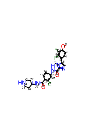 COc1ccc(-c2cnc(C(=O)Nc3ccc(C(=O)NCC4CCNCC4)c(Cl)c3)n2C)c(F)c1F